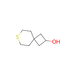 OC1CC2(CCSCC2)C1